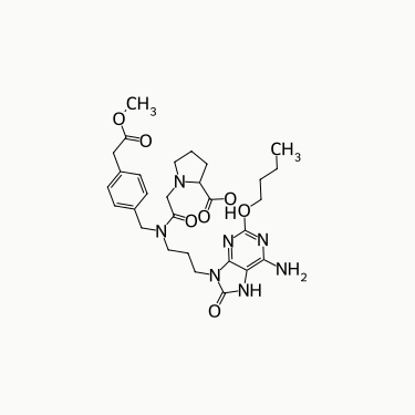 CCCCOc1nc(N)c2[nH]c(=O)n(CCCN(Cc3ccc(CC(=O)OC)cc3)C(=O)CN3CCCC3C(=O)O)c2n1